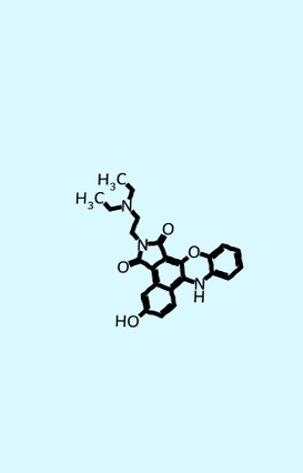 CCN(CC)CCn1c(=O)c2c3cc(O)ccc3c3[nH]c4ccccc4oc3c2c1=O